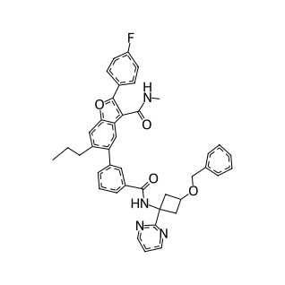 CCCc1cc2oc(-c3ccc(F)cc3)c(C(=O)NC)c2cc1-c1cccc(C(=O)NC2(c3ncccn3)CC(OCc3ccccc3)C2)c1